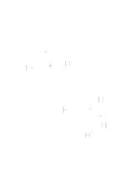 CC1(C)OB(CC#C[Si](C)(C)C)OC1(C)C